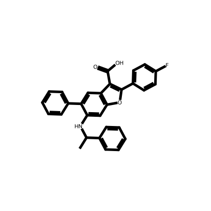 CC(Nc1cc2oc(-c3ccc(F)cc3)c(C(=O)O)c2cc1-c1ccccc1)c1ccccc1